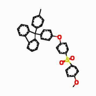 COc1ccc(S(=O)(=O)c2ccc(Oc3ccc(C4(c5ccc(C)cc5)c5ccccc5-c5ccccc54)cc3)cc2)cc1